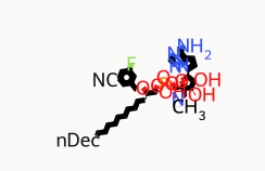 CCCCCCCCCCCCCCCCCCCC[C@@H](COP(=O)(O)OC[C@@]1(C=NC)O[C@@H](c2ccc3c(N)ncnn23)[C@H](O)[C@@H]1O)OCc1cc(F)cc(C#N)c1